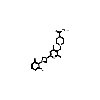 COC(=O)C1CCN(Cc2c(C)cc(C3CN(c4c(Cl)cccc4Cl)C3)nc2C)CC1